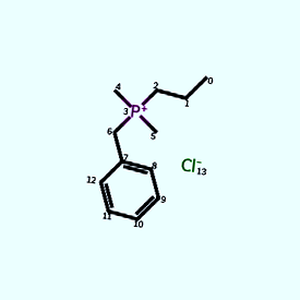 CCC[P+](C)(C)Cc1ccccc1.[Cl-]